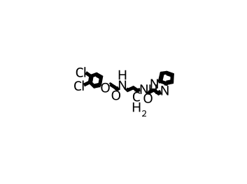 C=C(CCNC(=O)COc1ccc(Cl)c(Cl)c1)NC(=O)c1cnc2ccccc2n1